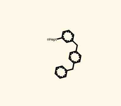 CCCCCCCc1cccc(Cc2ccc(Cc3ccccc3)cc2)c1